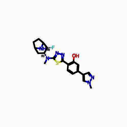 CN(c1nnc(-c2ccc(-c3cnn(C)c3)cc2O)s1)[C@@H]1CC2CCC(N2)[C@@H]1F